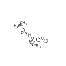 CN(C)CC=CC(=O)N1CC2(CC(Oc3ncnc(N)c3-c3ccc(Oc4ccccc4)cc3)C2)C1